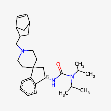 CC(C)N(C(=O)N[C@H]1CC2(CCN(CC3CC4C=CC3C4)CC2)c2ccccc21)C(C)C